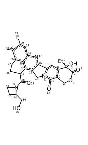 CC[C@@]1(O)C(=O)OCc2c1cc1n(c2=O)Cc2c-1nc1cc(F)c(C)c3c1c2C(C(=O)N1CCC1CO)CC3